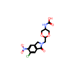 O=C(O)NC1COC(CN2Cc3cc([N+](=O)[O-])c(Cl)cc3C2=O)OC1